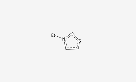 CC[n+]1ccsc1